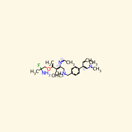 C=C/C(=C\N(C)C)c1ccc(CN(C=O)CC(/N=C\C)=C(\C)C(=C)OCC(C)(N)F)cc1